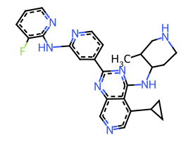 CC1CNCCC1Nc1nc(-c2ccnc(Nc3ncccc3F)c2)nc2cncc(C3CC3)c12